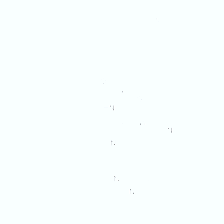 Cc1nn(-c2ccccc2)c(N(Cc2ccccc2)C(=O)NS(=O)(=O)c2ccc(Cl)cc2)c1C#N